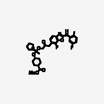 COC(=O)[C@H]1CC[C@H](OC(C)(OCC(=O)Cc2ccc3nc(Nc4cc(F)ccc4C)oc3c2F)N2CCCC2)CC1